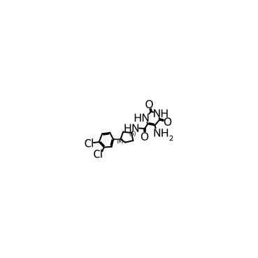 Nc1c(C(=O)N[C@H]2CC[C@@H](c3ccc(Cl)c(Cl)c3)C2)[nH]c(=O)[nH]c1=O